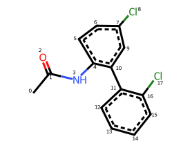 CC(=O)Nc1ccc(Cl)cc1-c1ccccc1Cl